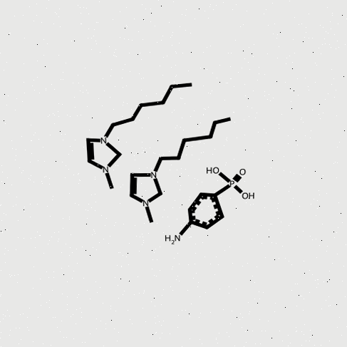 CCCCCCN1C=CN(C)C1.CCCCCCN1C=CN(C)C1.Nc1ccc(P(=O)(O)O)cc1